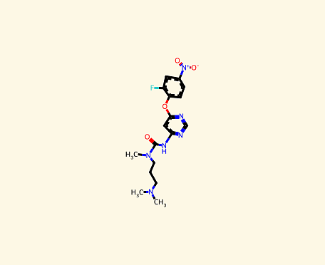 CN(C)CCCN(C)C(=O)Nc1cc(Oc2ccc([N+](=O)[O-])cc2F)ncn1